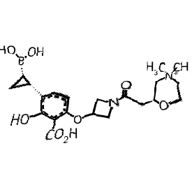 C[N+]1(C)CCO[C@@H](CC(=O)N2CC(Oc3ccc([C@@H]4C[C@@H]4B(O)O)c(O)c3C(=O)O)C2)C1